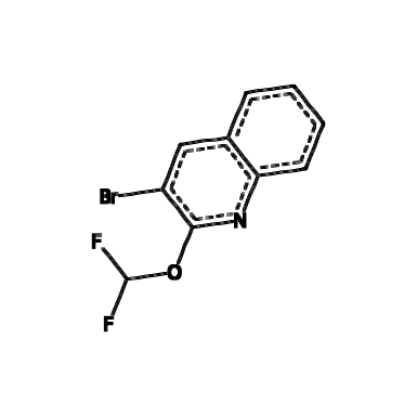 FC(F)Oc1nc2ccccc2cc1Br